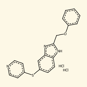 Cl.Cl.c1ccc(OCc2nc3cc(Sc4ccncc4)ccc3[nH]2)cc1